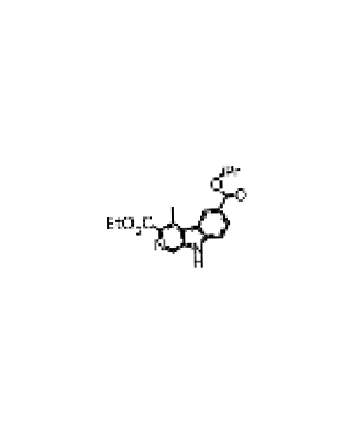 CCOC(=O)c1ncc2[nH]c3ccc(C(=O)OC(C)C)cc3c2c1C